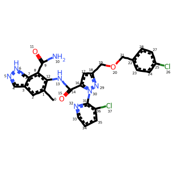 Cc1cc2cn[nH]c2c(C(N)=O)c1NC(=O)c1cc(COCc2ccc(Cl)cc2)nn1-c1ncccc1Cl